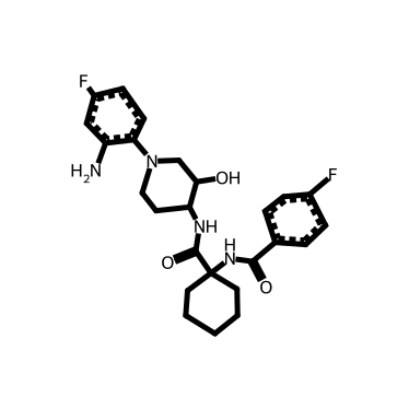 Nc1cc(F)ccc1N1CCC(NC(=O)C2(NC(=O)c3ccc(F)cc3)CCCCC2)C(O)C1